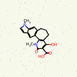 Cn1c2c(c(O)c(C(=O)O)c1=O)CCCc1cc3c(ccn3C)cc1-2